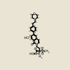 C[C@@](CCn1ccc2cc(-c3ccc(CCN4CCOCC4)cc3)ccc2c1=O)(C(=O)NO)S(C)(=O)=O.Cl